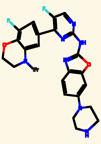 CC(C)N1CCOc2c(F)cc(-c3nc(Nc4nc5ccc(N6CCNCC6)cc5o4)ncc3F)cc21